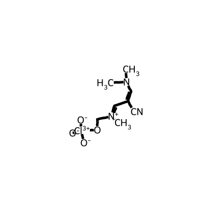 CN(C)C=C(C#N)C=[N+](C)CO[Cl+3]([O-])([O-])[O-]